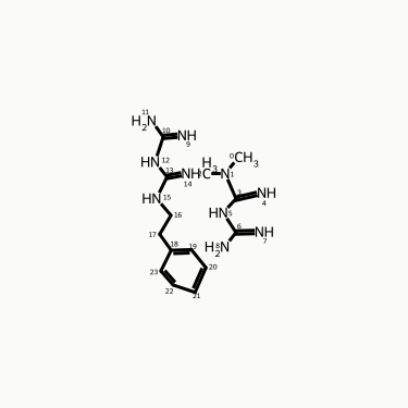 CN(C)C(=N)NC(=N)N.N=C(N)NC(=N)NCCc1ccccc1